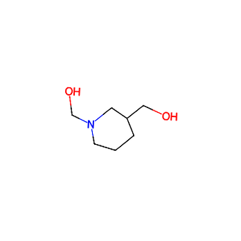 OCC1CCCN(CO)C1